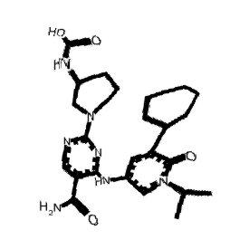 CC(C)n1cc(Nc2nc(N3CCCC(NC(=O)O)C3)ncc2C(N)=O)cc(C2CCCCC2)c1=O